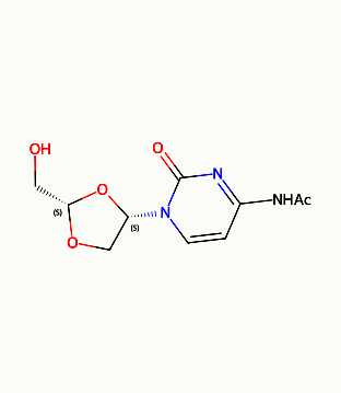 CC(=O)Nc1ccn([C@@H]2CO[C@H](CO)O2)c(=O)n1